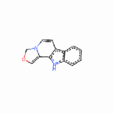 C1=CN2COC=C2c2[nH]c3ccccc3c21